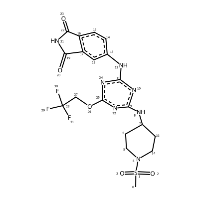 CS(=O)(=O)N1CCC(Nc2nc(Nc3ccc4c(c3)C(=O)NC4=O)nc(OCC(F)(F)F)n2)CC1